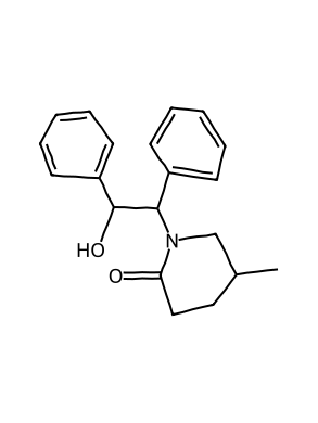 CC1CCC(=O)N(C(c2ccccc2)C(O)c2ccccc2)C1